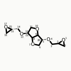 C1OC1CO[C@@H]1COC2C1OC[C@@H]2OC[C@@H]1CO1